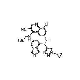 CC(C)(C)CNc1c(C#N)cnc2c(Cl)cc(N[C@H](c3cn(C4CC4)nn3)c3cccn4cncc34)cc12